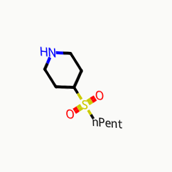 CCCCCS(=O)(=O)C1CCNCC1